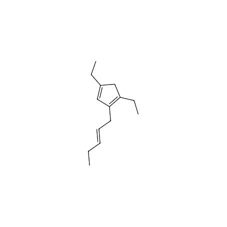 CCC=CCC1=C(CC)CC(CC)=C1